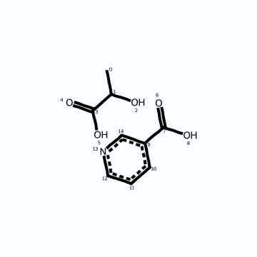 CC(O)C(=O)O.O=C(O)c1cccnc1